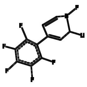 [Li][CH]1C=C(c2c(F)c(F)c(F)c(F)c2F)C=CB1F